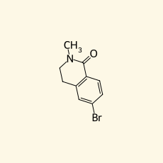 CN1CCc2cc(Br)ccc2C1=O